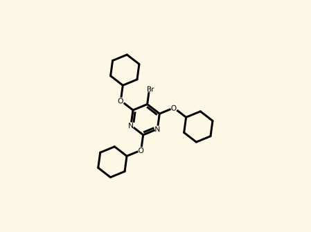 Brc1c(OC2CCCCC2)nc(OC2CCCCC2)nc1OC1CCCCC1